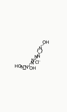 OCCn1ccc(=NN=CN=NCC(O)[n+]2ccn(O)c2)cc1.[Cl-]